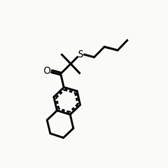 CCCCSC(C)(C)C(=O)c1ccc2c(c1)CCCC2